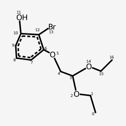 CCOC(COc1cccc(O)c1Br)OCC